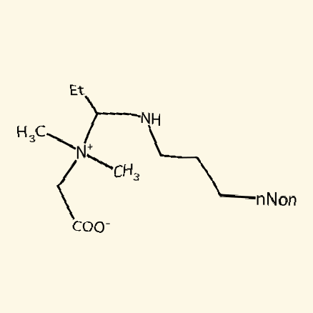 CCCCCCCCCCCCNC(CC)[N+](C)(C)CC(=O)[O-]